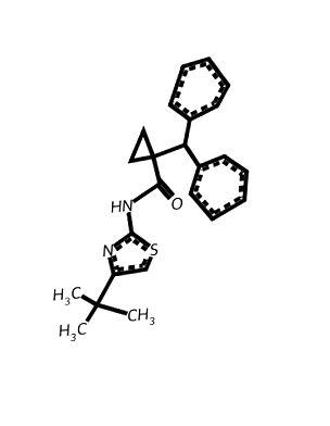 CC(C)(C)c1csc(NC(=O)C2(C(c3ccccc3)c3ccccc3)CC2)n1